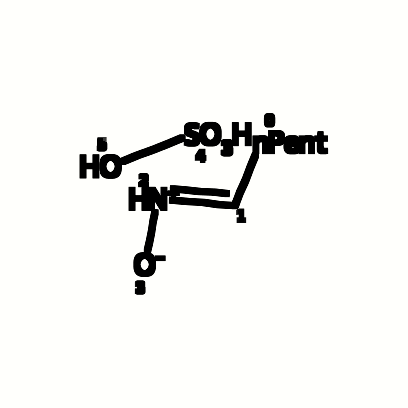 CCCCCC=[NH+][O-].O=S(=O)(O)O